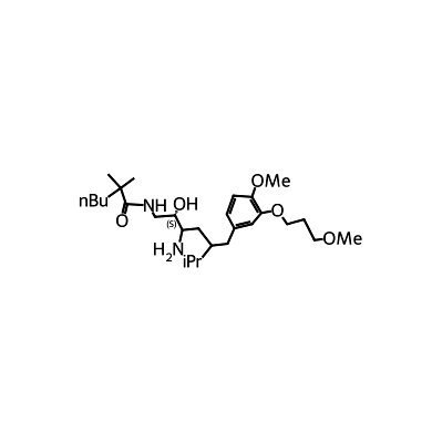 CCCCC(C)(C)C(=O)NC[C@H](O)C(N)CC(Cc1ccc(OC)c(OCCCOC)c1)C(C)C